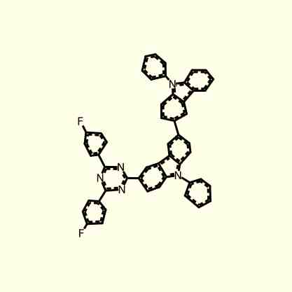 Fc1ccc(-c2nc(-c3ccc(F)cc3)nc(-c3ccc4c(c3)c3cc(-c5ccc6c(c5)c5ccccc5n6-c5ccccc5)ccc3n4-c3ccccc3)n2)cc1